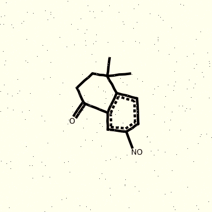 CC1(C)CCC(=O)c2cc(N=O)ccc21